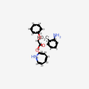 Nc1ccccc1C(=O)O.O=C(COc1ccccc1)OC1=CC=CC=CN1